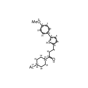 COc1ccc(-c2ccc(CCC(=O)N3CCN(C(C)=O)CC3)s2)cc1